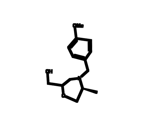 COc1ccc(CN2CC(CO)OC[C@@H]2C)cc1